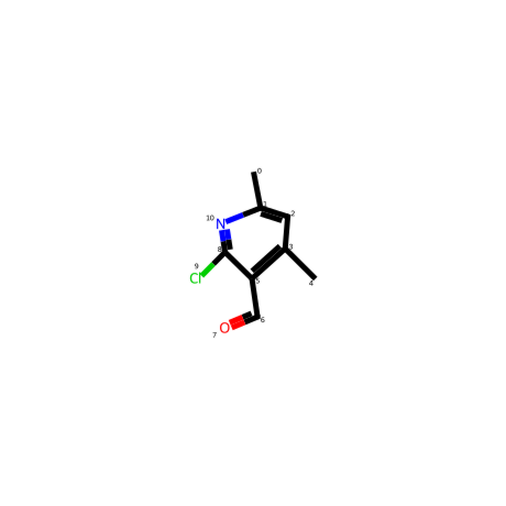 Cc1cc(C)c(C=O)c(Cl)n1